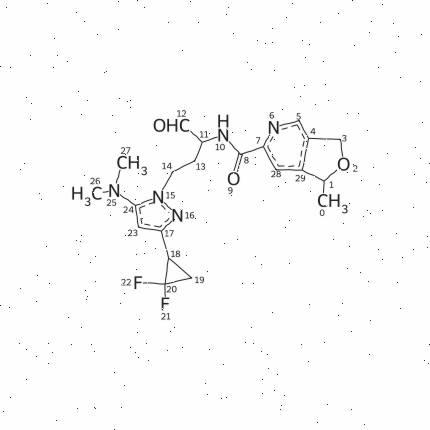 CC1OCc2cnc(C(=O)NC(C=O)CCn3nc(C4CC4(F)F)cc3N(C)C)cc21